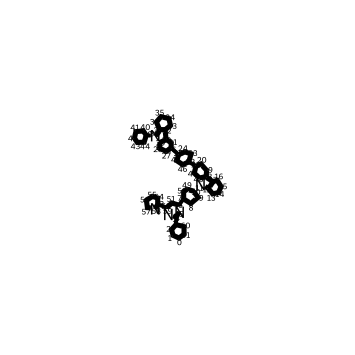 c1ccc(-c2nc(-c3ccc(-n4c5ccccc5c5ccc(-c6ccc(-c7ccc8c(c7)c7ccccc7n8-c7ccccc7)cc6)cc54)cc3)cc(-c3ccccn3)n2)cc1